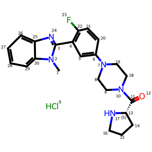 Cl.Cn1c(-c2cc(N3CCN(C(=O)[C@@H]4CCCN4)CC3)ccc2F)nc2ccccc21